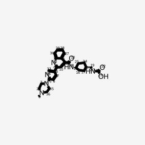 CN1CCN(c2ccc(-c3cc(C(=O)N[C@H]4CC[C@H](CNC(=O)O)CC4)c4ccccc4n3)cn2)CC1